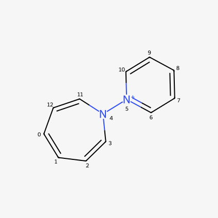 C1=CC=CN([n+]2ccccc2)C=C1